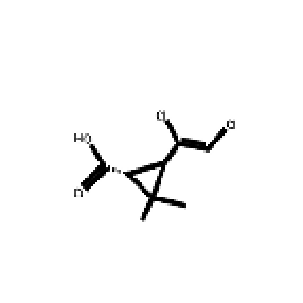 CC1(C)C(C(Cl)=CCl)[C@H]1C(=O)O